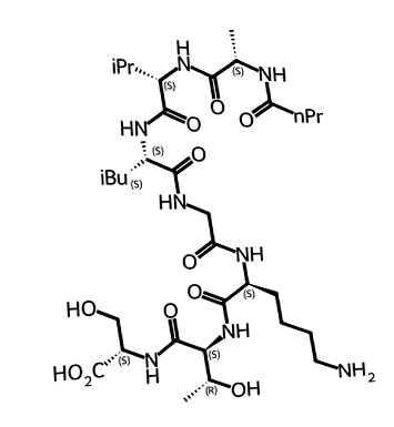 CCCC(=O)N[C@@H](C)C(=O)N[C@H](C(=O)N[C@H](C(=O)NCC(=O)N[C@@H](CCCCN)C(=O)N[C@H](C(=O)N[C@@H](CO)C(=O)O)[C@@H](C)O)[C@@H](C)CC)C(C)C